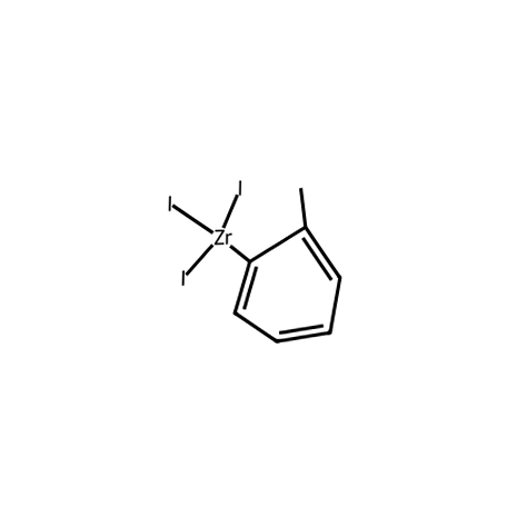 Cc1cccc[c]1[Zr]([I])([I])[I]